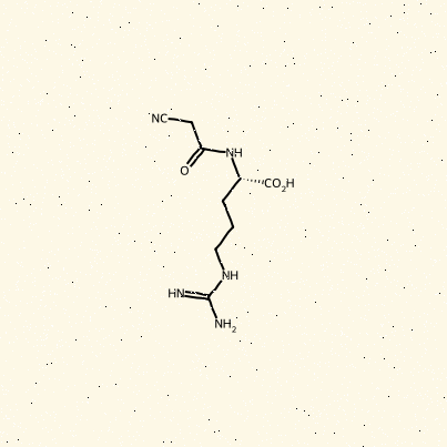 N#CCC(=O)N[C@@H](CCCNC(=N)N)C(=O)O